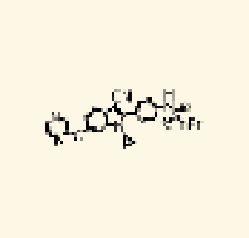 CCCS(=O)(=O)Nc1ccc(-c2c(C#N)c3ccc(Oc4cnccn4)cc3n2C2CC2)cc1